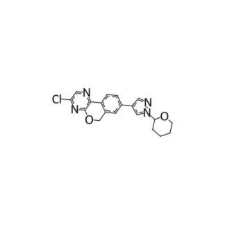 Clc1cnc2c(n1)OCc1cc(-c3cnn(C4CCCCO4)c3)ccc1-2